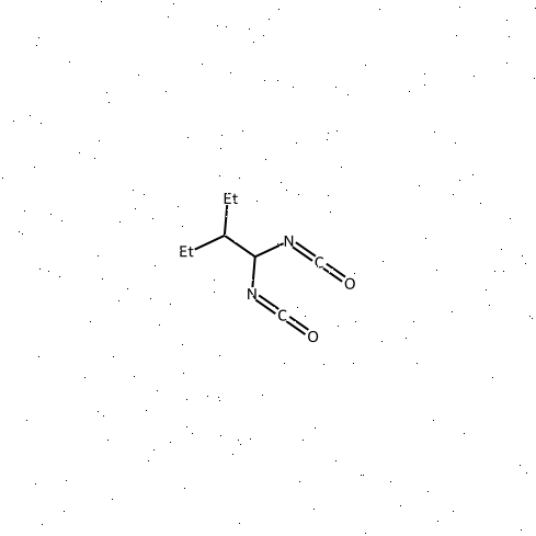 CCC(CC)C(N=C=O)N=C=O